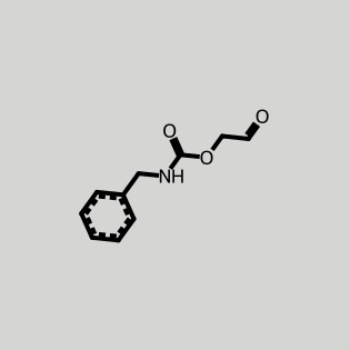 O=CCOC(=O)NCc1ccccc1